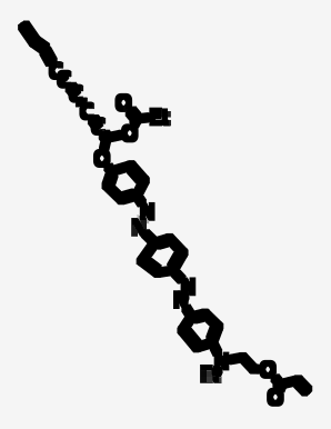 C=C=C=C=C=C=C=C=C(OC(=O)CC)Oc1ccc(N=Nc2ccc(N=Nc3ccc(N(CC)CCOC(=O)C=C)cc3)cc2)cc1